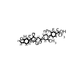 CCCc1cc(C(O)(C(F)(F)F)C(F)(F)F)ccc1N1CCN(C(=O)CN2C(=O)NC(C)(c3ccc4ccoc4c3)C2=O)C[C@@H]1C